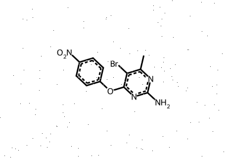 Cc1nc(N)nc(Oc2ccc([N+](=O)[O-])cc2)c1Br